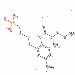 C=C(Oc1ccc(OC)cc1CCCCP(=O)(O)O)[C@@H](N)CCSC